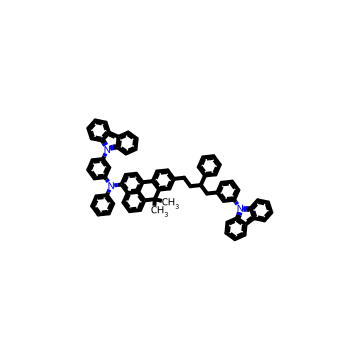 CC1(C)c2cc(CCC(Cc3cccc(-n4c5ccccc5c5ccccc54)c3)c3ccccc3)ccc2-c2ccc(N(c3ccccc3)c3cccc(-n4c5ccccc5c5ccccc54)c3)c3cccc1c23